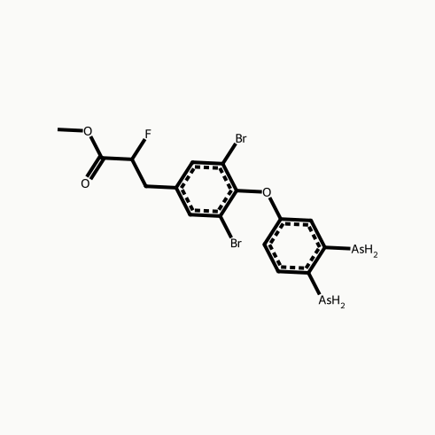 COC(=O)C(F)Cc1cc(Br)c(Oc2ccc([AsH2])c([AsH2])c2)c(Br)c1